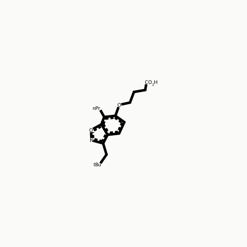 CCCc1c(OCCCC(=O)O)ccc2c(CC(C)(C)C)noc12